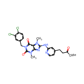 COC(=O)CCc1ccnc(Nc2nc3c(c(=O)n(Cc4ccc(Cl)c(Cl)c4)c(=O)n3C)n2C)c1